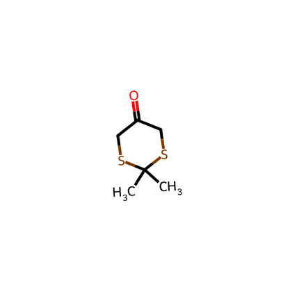 CC1(C)SCC(=O)CS1